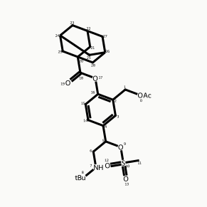 CC(=O)OCc1cc(C(CNC(C)(C)C)OS(C)(=O)=O)ccc1OC(=O)C12CC3CC(CC(C3)C1)C2